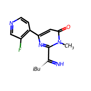 CC[C@@H](C)C(=N)c1nc(-c2ccncc2F)cc(=O)n1C